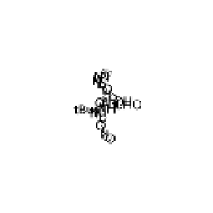 C[C@H]1CCCCN1c1nnc2ccc(O[C@@H]3CC[C@H](NC(=O)Nc4cc(C(C)(C)C)nn4-c4cccc(OCCN5CCCOCC5)c4)c4ccccc43)cn12.O=CO